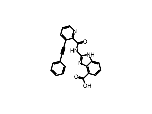 O=C(Nc1nc2c(C(=O)O)cccc2[nH]1)c1ncccc1C#Cc1ccccc1